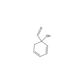 O=CC1(O)C=CC=CC1